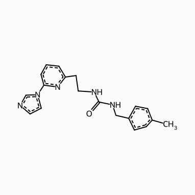 Cc1ccc(CNC(=O)NCCc2cccc(-n3ccnc3)n2)cc1